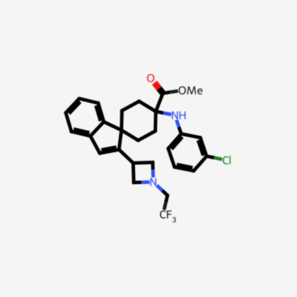 COC(=O)C1(Nc2cccc(Cl)c2)CCC2(CC1)C(C1CN(CC(F)(F)F)C1)=Cc1ccccc12